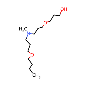 CCCCOCCCN(C)CCCOCCCO